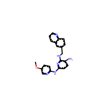 COc1ccc(Nc2ccc(N)c(NCc3ccc4ncccc4c3)n2)nc1